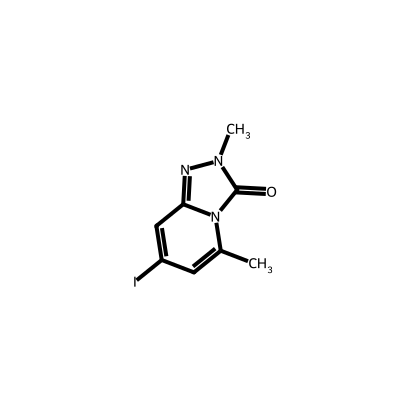 Cc1cc(I)cc2nn(C)c(=O)n12